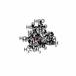 CC[C@H](C)[C@H](NC(=O)[C@@H]1CCCN1C(=O)[C@@H](NC(=O)CNC(=O)[C@H](CCC(=O)O)NC(=O)[C@H](CCC(=O)O)NC(=O)[C@H](CO)NC(=O)[C@H](CC(C)C)NC(=O)[C@@H](NC(=O)[C@H](CO)NC(=O)CNC(=O)[C@@H](NC(=O)[C@H](C)NC(=O)[C@H](C)NC(=O)[C@@H](N)CO)C(C)C)[C@@H](C)CC)C(C)C)C(=O)O